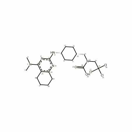 CN(C)c1nc(N[C@H]2CC[C@@H](CN(CC(Cl)(Cl)Cl)C(=O)O)CC2)nc2c1CCCC2